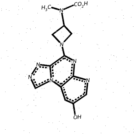 CN(C(=O)O)C1CN(c2nc3ncc(O)cc3n3cnnc23)C1